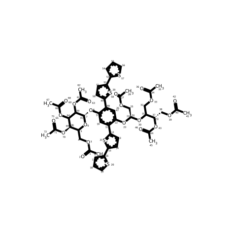 CC(=O)OCC1O[C@@H](Oc2cc(-c3ccc(-c4cccs4)s3)c(O[C@@H](COC(C)=O)OC(COC(C)=O)[C@H](COC(C)=O)OC(C)=O)cc2-c2ccc(-c3cccs3)s2)C(OC(C)=O)C(OC(C)=O)[C@@H]1OC(C)=O